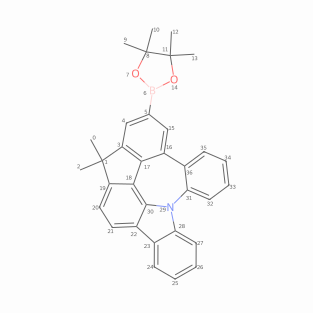 CC1(C)c2cc(B3OC(C)(C)C(C)(C)O3)cc3c2-c2c1ccc1c4ccccc4n(c21)-c1ccccc1-3